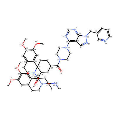 CCN1CCc2cc(OC)c(OC)cc2C1C1CC(C(=O)N2CCN(c3ncnc4c3cnn4Cc3cccnc3)CC2)CCC12c1cc(OC)c(OC)cc1CCN2C(=O)CCNC